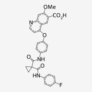 COc1cc2nccc(Oc3ccc(NC(=O)C4(C(=O)Nc5ccc(F)cc5)CC4)cc3)c2cc1C(=O)O